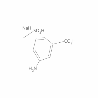 CS(=O)(=O)O.Nc1cccc(C(=O)O)c1.[NaH]